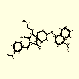 COCCN1C(=O)N(Cc2cccc(OC)c2)C(=O)C12CCN(Cc1ccc(OC)c3ccccc13)CC2